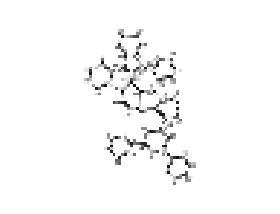 c1ccc(-c2cc(-c3ccccc3)cc(-c3cccc(N4c5ccccc5-c5c(n(-c6ccccc6)c6ccccc56)-c5ccccc54)c3)c2)cc1